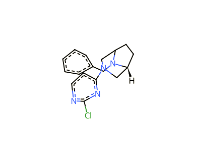 Clc1nccc(N2CC3CC[C@H](C2)N3Cc2ccccc2)n1